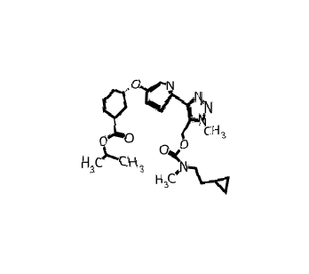 CC(C)OC(=O)[C@H]1CCC[C@H](Oc2ccc(-c3nnn(C)c3COC(=O)N(C)CCC3CC3)nc2)C1